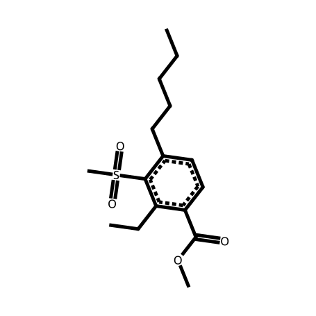 CCCCCc1ccc(C(=O)OC)c(CC)c1S(C)(=O)=O